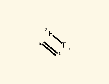 C=C.FF